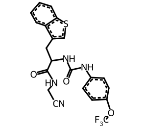 N#CCNC(=O)C(Cc1csc2ccccc12)NC(=O)Nc1ccc(OC(F)(F)F)cc1